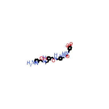 COc1ccc(CNC(=O)NCc2ccc(CNC(=O)Cc3cccc(C[C@@H](C)NC[C@@H](O)c4ccc(N)nc4)c3)cc2)cc1OC